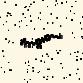 CC(C)(c1ccc(OCCCCl)cc1)c1ccc(OCC(=O)CNS(C)(=O)=O)c(C#N)c1